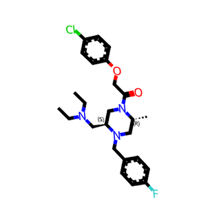 CCN(CC)C[C@H]1CN(C(=O)COc2ccc(Cl)cc2)[C@H](C)CN1Cc1ccc(F)cc1